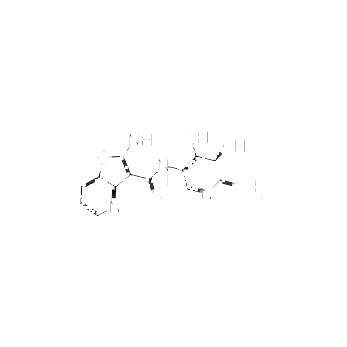 C=C/N=C\C(NC(=O)c1c(N)oc2cccnc12)=C(\C)C=C